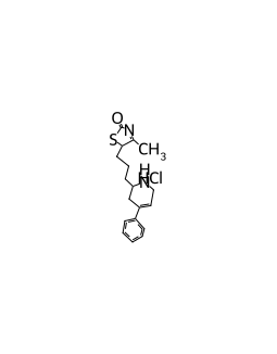 CC1=NC(=O)SC1CCCC1CC(c2ccccc2)=CCN1.Cl